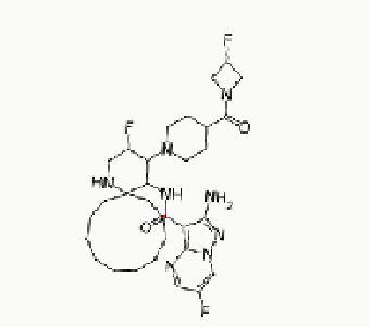 Nc1nn2cc(F)cnc2c1C(=O)NC1C(N2CCC(C(=O)N3CC(F)C3)CC2)C(F)CNC12CCCCCCCCCC2